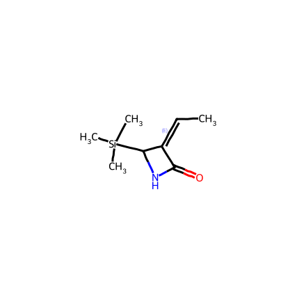 C/C=C1\C(=O)NC1[Si](C)(C)C